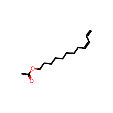 C=C/C=C\CCCCCCCCOC(C)=O